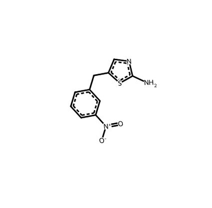 Nc1ncc(Cc2cccc([N+](=O)[O-])c2)s1